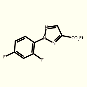 CCOC(=O)c1cnn(-c2ccc(F)cc2F)n1